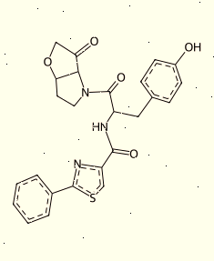 O=C(NC(Cc1ccc(O)cc1)C(=O)N1CCC2OCC(=O)C21)c1csc(-c2ccccc2)n1